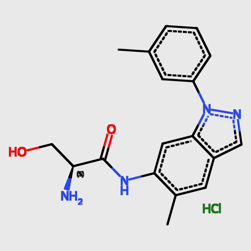 Cc1cccc(-n2ncc3cc(C)c(NC(=O)[C@@H](N)CO)cc32)c1.Cl